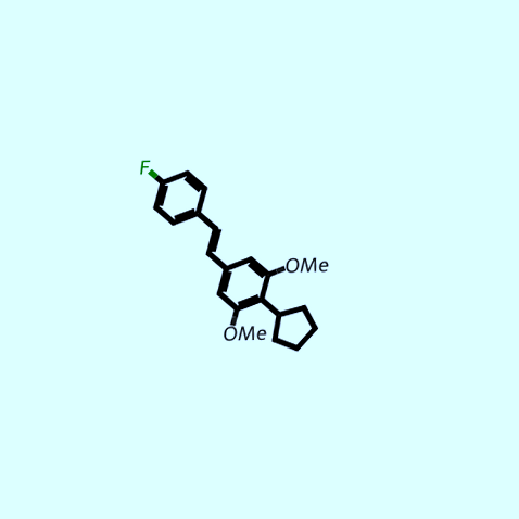 COc1cc(/C=C/c2ccc(F)cc2)cc(OC)c1C1CCCC1